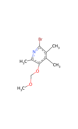 COCOc1c(C)nc(Br)c(C)c1C